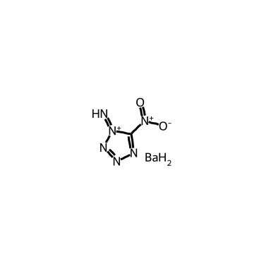 N=[N+]1N=NN=C1[N+](=O)[O-].[BaH2]